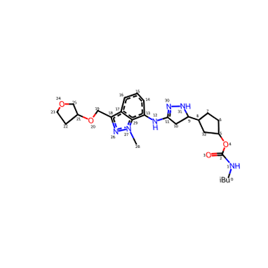 CCC(C)NC(=O)OC1CCC(C2CC(Nc3cccc4c(COC5CCOC5)nn(C)c34)=NN2)C1